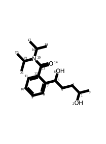 CC(O)CCC(O)c1ccccc1C(=O)N(C(C)C)C(C)C